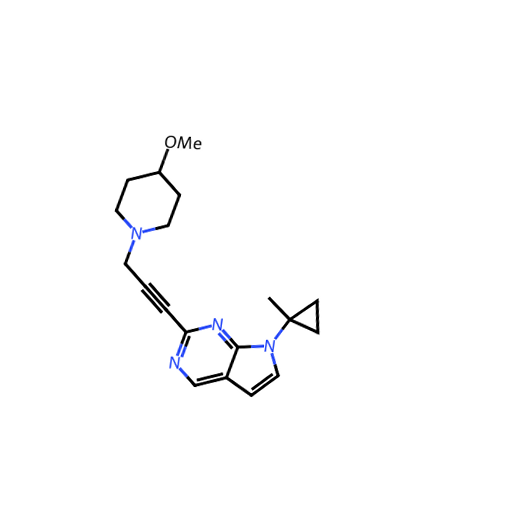 COC1CCN(CC#Cc2ncc3ccn(C4(C)CC4)c3n2)CC1